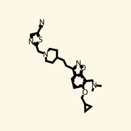 CN(C)Cc1c(OCC2CC2)ccc2c(CCC3CCN(Cc4ncc(C#N)s4)CC3)noc12